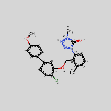 COc1ccc(-c2ccc(Cl)c(OCc3c(C)cccc3-n3nnn(C)c3=O)c2)cc1